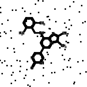 Cc1cccc(C)c1CNc1cc(-c2cnc(=O)[nH]c2)cn2c(C)c(C)nc12